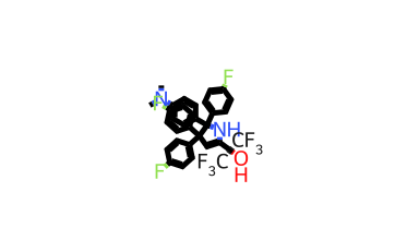 CN(C)c1ccc(C2(c3ccc(F)cc3)NC(C(O)(C(F)(F)F)C(F)(F)F)=CC2(c2ccc(F)cc2)c2ccc(F)cc2)cc1